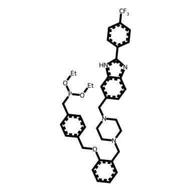 CCOP(Cc1ccc(COc2ccccc2CN2CCN(Cc3ccc4nc(-c5ccc(C(F)(F)F)cc5)[nH]c4c3)CC2)cc1)OCC